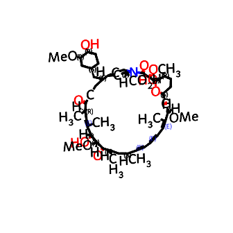 CO[C@H]1C[C@@H]2CC[C@@H](C)[C@@](O)(O2)C(=O)C(=O)N2CCC(C[C@H]2C(=O)O)[C@H](C[C@@H]2CC[C@@H](O)[C@H](OC)C2)CCC(=O)[C@H](C)/C=C(\C)[C@@H](O)[C@@H](OC)C(=O)[C@H](C)C[C@H](C)/C=C/C=C/C=C/1C